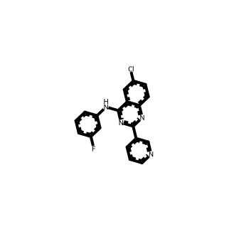 Fc1cccc(Nc2nc(-c3cccnc3)nc3ccc(Cl)cc23)c1